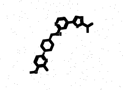 COc1ccc([C@H]2CC[C@H](CNc3cc(-c4cnc(C(C)C)s4)ccn3)CC2)nc1C